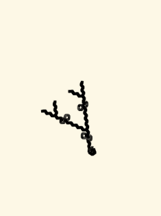 CCCCCC(CCCCC)CCOC(=O)CCCCCCCC(CCCCCCCC(=O)OCCC(CCCCC)CCCCC)CC(=O)OCCCN1CCCC1